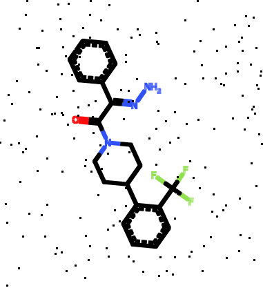 NN=C(C(=O)N1CCC(c2ccccc2C(F)(F)F)CC1)c1ccccc1